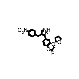 O=[N+]([O-])c1ccc(Cc2c[nH]nc2-c2ccc(OC(F)F)c(OC3CCCO3)c2)cc1